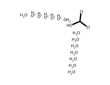 O.O.O.O.O.O.O.O.O.O.O.O.O.O.OC(Cl)Cl